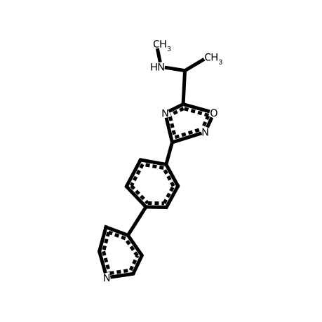 CNC(C)c1nc(-c2ccc(-c3ccncc3)cc2)no1